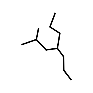 CCCC(CCC)CC(C)C